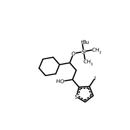 CC(C)(C)[Si](C)(C)OC(CC(O)c1sccc1I)C1CCCCC1